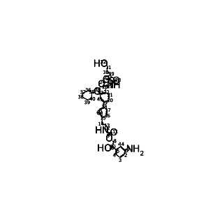 Nc1cccc([C@H](O)COC(=O)NCCc2ccc(-c3ccc(C(=O)NS(=O)(=O)CCCO)c(OC4CCCCC4)c3)cc2)c1